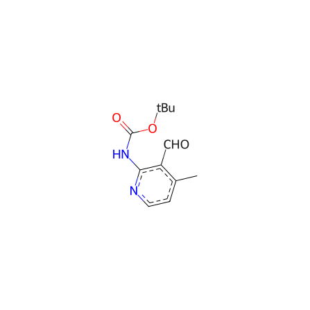 Cc1ccnc(NC(=O)OC(C)(C)C)c1C=O